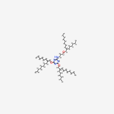 CCCCCCCCC(CCCCCC)COCCCNc1nc(OCC(CCCCCC)CCCCCCCC)nc(OCC(CCCCCC)CCCCCCCC)n1